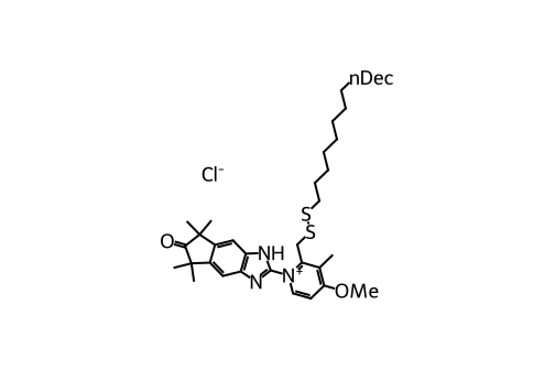 CCCCCCCCCCCCCCCCCCSSCc1c(C)c(OC)cc[n+]1-c1nc2cc3c(cc2[nH]1)C(C)(C)C(=O)C3(C)C.[Cl-]